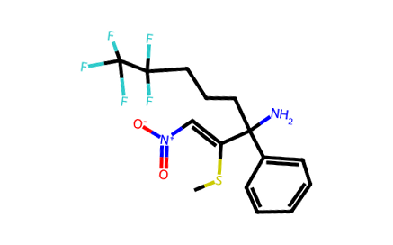 CSC(=C[N+](=O)[O-])C(N)(CCCC(F)(F)C(F)(F)F)c1ccccc1